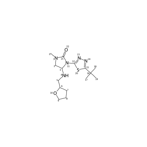 CN1CC(NCC2CCCO2)N(c2nnc(C(C)(C)C)s2)C1=O